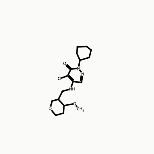 COC1CCOCC1CNc1cnn(C2CCCCC2)c(=O)c1Cl